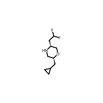 FC(F)C[C@H]1CO[C@@H](CC2CC2)CN1